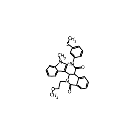 COCCN1C(=O)c2ccccc2C(C(=O)Nc2cccc(SC)c2)C1c1cn(C)c2ccccc12